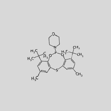 Cc1cc2c(c(C(C)(C)C)c1)OP(N1CCOCC1)Oc1c(cc(C)cc1C(C)(C)C)S2